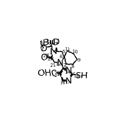 CC(C)(C)OC(=O)N1CC2(CCCCC2)N(c2nc(S)ncc2C=O)CC1=O